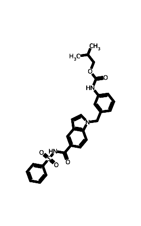 CC(C)COC(=O)Nc1cccc(Cn2ccc3cc(C(=O)NS(=O)(=O)c4ccccc4)ccc32)c1